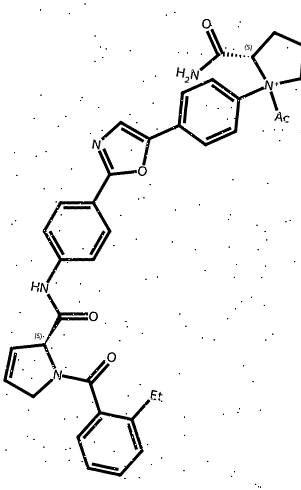 CCc1ccccc1C(=O)N1CC=C[C@H]1C(=O)Nc1ccc(-c2ncc(-c3ccc([N+]4(C(C)=O)CCC[C@H]4C(N)=O)cc3)o2)cc1